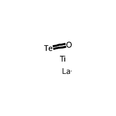 O=[Te].[La].[Ti]